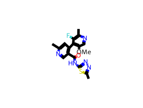 COc1cnc(C)c(F)c1-c1cc(C)ncc1C(=O)Nc1nnc(C)s1